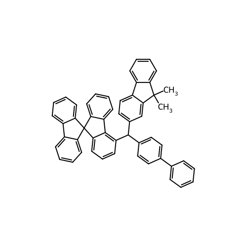 CC1(C)c2ccccc2-c2ccc(C(c3ccc(-c4ccccc4)cc3)c3cccc4c3-c3ccccc3C43c4ccccc4-c4ccccc43)cc21